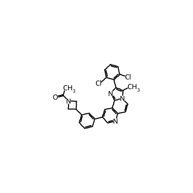 CC(=O)N1CC(c2cccc(-c3cnc4ccn5c(C)c(-c6c(Cl)cccc6Cl)nc5c4c3)c2)C1